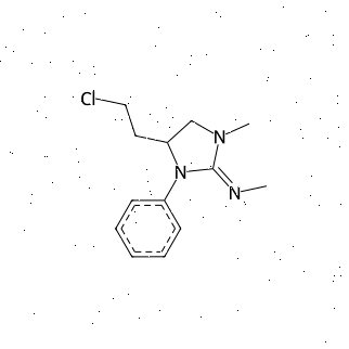 CN=C1N(C)CC(CCCl)N1c1ccccc1